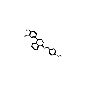 COc1ccc(C/N=C2\CCC(c3ccc(Cl)c(Cl)c3)c3ccccc32)cc1